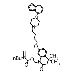 CCCCNC(=O)OCN1C(=O)CC(C)(C)c2ccc(OCCCCN3CCN(c4cccc5sccc45)CC3)cc21